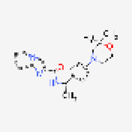 C[C@@H](NC(=O)c1cn2ccccc2n1)c1ccc(N2CCOC(C)(C)C2)cc1